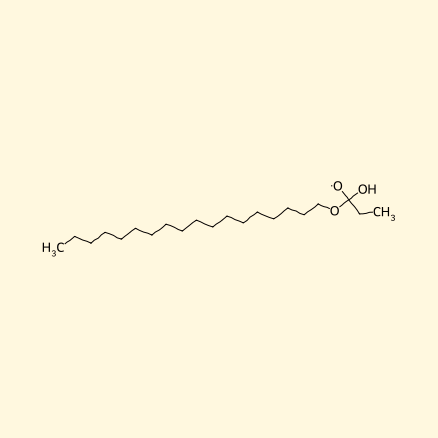 CCCCCCCCCCCCCCCCCCOC([O])(O)CC